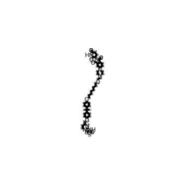 CC(C)(c1ccc(OCCCCCCCCOCCN2CCN(c3ccc4c(c3)C(=O)N(C3CCC(=O)NC3=O)C4=O)CC2)cc1)c1ccc(OCc2ccnc(NS(C)(=O)=O)n2)cc1